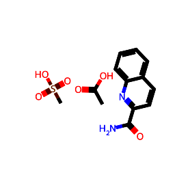 CC(=O)O.CS(=O)(=O)O.NC(=O)c1ccc2ccccc2n1